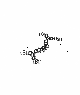 CC(C)(C)c1ccc(N(c2ccc(C(C)(C)C)cc2)c2ccc3cc4c(cc3c2)oc2c(F)c3oc5cc6cc(N(c7ccc(C(C)(C)C)cc7)c7ccc(C(C)(C)C)cc7)ccc6cc5c3cc24)cc1